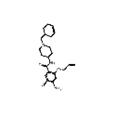 C=CCOc1cc(N)c(Cl)cc1C(=O)NC1CCN(CC2CC=CCC2)CC1